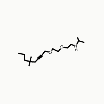 CCCC(C)(C)CC#CCOCCOCCNC(C)C